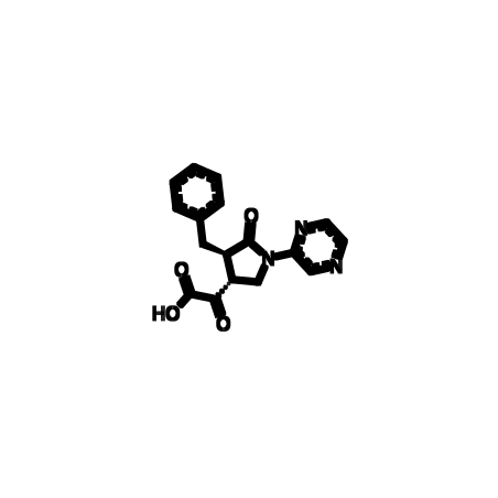 O=C(O)C(=O)[C@H]1CN(c2cnccn2)C(=O)[C@@H]1Cc1ccccc1